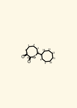 O=C1CCCCC(C2CCCCCCC2)SC1=O